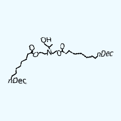 CCCCCCCCCCCCCCCCCC(=O)OCCN(CCOC(=O)CCCCCCCCCCCCCCCCC)C(C)CO